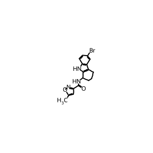 Cc1cc(C(=O)NC2CCCc3c2[nH]c2ccc(Br)cc32)no1